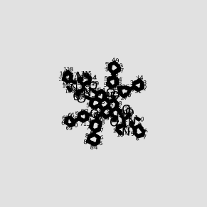 CCN(Cc1ccccc1)C(=O)C(c1cccnc1)N1C(=O)c2cc(Oc3ccc(-c4ccccc4)cc3)c3c4c(Oc5ccc(-c6ccccc6)cc5)cc5c6c(cc(Oc7ccc(-c8ccccc8)cc7)c(c7c(Oc8ccc(-c9ccccc9)cc8)cc(c2c37)C1=O)c64)C(=O)N(C(C(=O)N(CC)Cc1ccccc1)c1cccnc1)C5=O